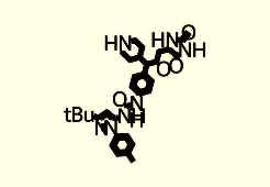 Cc1ccc(-n2nc(C(C)(C)C)cc2NC(=O)Nc2ccc(C(C(=O)CC3NC(=O)NC3=O)C3CCNCC3)cc2)cc1